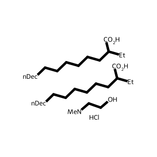 CCCCCCCCCCCCCCCCC(CC)C(=O)O.CCCCCCCCCCCCCCCCC(CC)C(=O)O.CNCCO.Cl